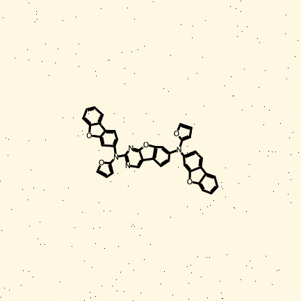 c1coc(N(c2ccc3c(c2)oc2ccccc23)c2ccc3c(c2)oc2nc(N(c4ccc5c(c4)oc4ccccc45)c4ccco4)ncc23)c1